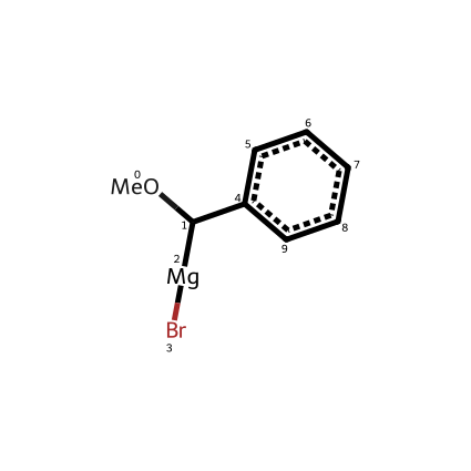 CO[CH]([Mg][Br])c1ccccc1